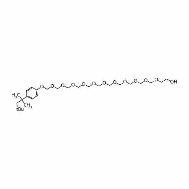 CC(C)(C)CC(C)(C)c1ccc(OCOCOCOCOCOCOCOCOCOCOCOCCO)cc1